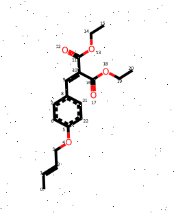 C[C]=CCOc1ccc(C=C(C(=O)OCC)C(=O)OCC)cc1